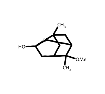 COC1(C)C2CC3(C)CC1CC(O)(C2)O3